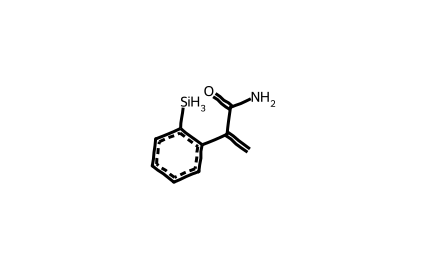 C=C(C(N)=O)c1ccccc1[SiH3]